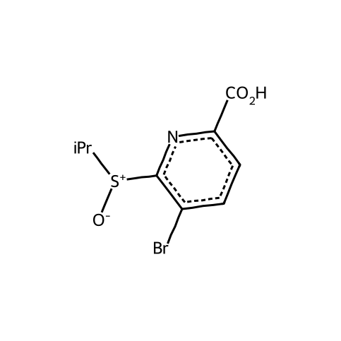 CC(C)[S+]([O-])c1nc(C(=O)O)ccc1Br